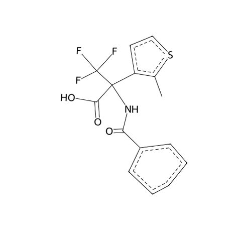 Cc1sccc1C(NC(=O)c1ccccc1)(C(=O)O)C(F)(F)F